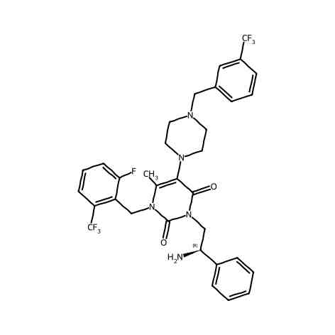 Cc1c(N2CCN(Cc3cccc(C(F)(F)F)c3)CC2)c(=O)n(C[C@H](N)c2ccccc2)c(=O)n1Cc1c(F)cccc1C(F)(F)F